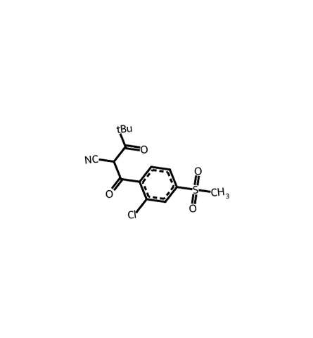 CC(C)(C)C(=O)C(C#N)C(=O)c1ccc(S(C)(=O)=O)cc1Cl